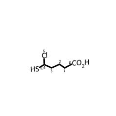 O=C(O)CCCC(S)Cl